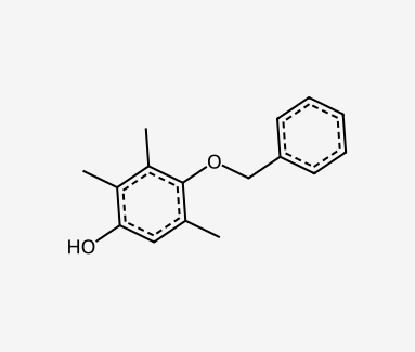 Cc1cc(O)c(C)c(C)c1OCc1ccccc1